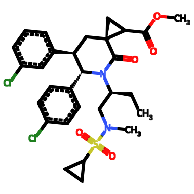 CC[C@@H](CN(C)S(=O)(=O)C1CC1)N1C(=O)[C@]2(CC2C(=O)OC)C[C@H](c2cccc(Cl)c2)[C@H]1c1ccc(Cl)cc1